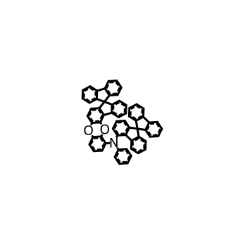 c1ccc(N(c2cccc3c2Oc2c(ccc4c2-c2ccccc2C42c4ccccc4-c4ccccc42)O3)c2cccc3c2-c2ccccc2C32c3ccccc3-c3ccccc32)cc1